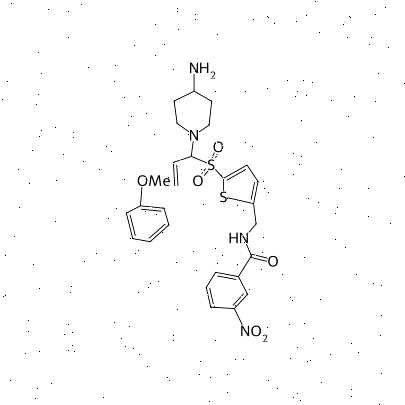 C=CC(N1CCC(N)CC1)S(=O)(=O)c1ccc(CNC(=O)c2cccc([N+](=O)[O-])c2)s1.COc1ccccc1